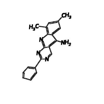 Cc1cc(C)c2nc3nc(-c4ccccc4)ncc3c(N)c2c1